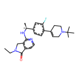 CCN1Cc2c(ccnc2N[C@@H](C)c2ccc(C3=CCN(C(C)(C)C)CC3)c(F)c2)C1=O